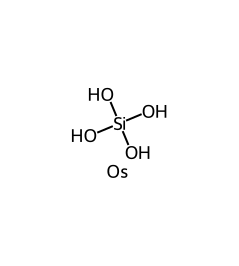 O[Si](O)(O)O.[Os]